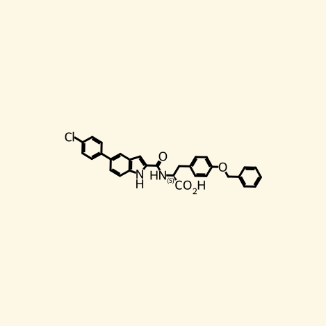 O=C(N[C@@H](Cc1ccc(OCc2ccccc2)cc1)C(=O)O)c1cc2cc(-c3ccc(Cl)cc3)ccc2[nH]1